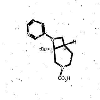 CC(C)(C)[C@@]12CN(C(=O)O)CC[C@H]1CN2c1cccnc1